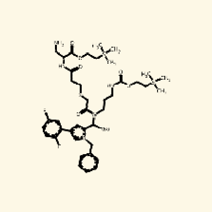 CC(C)(C)C(c1cc(-c2cc(F)ccc2F)cn1Cc1ccccc1)N(CCCNC(=O)OCC[Si](C)(C)C)C(=O)CSCCC(=O)NC(CN)C(=O)OCC[Si](C)(C)C